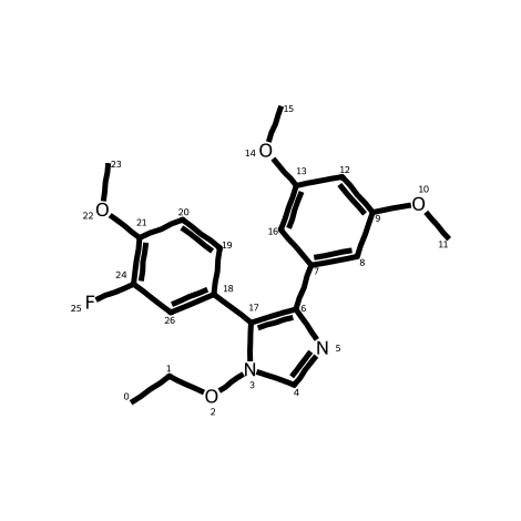 CCOn1cnc(-c2cc(OC)cc(OC)c2)c1-c1ccc(OC)c(F)c1